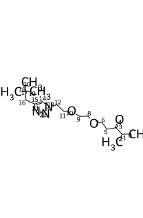 CC(C)C(=O)CCOCCOCCn1cc(CC(C)(C)C)nn1